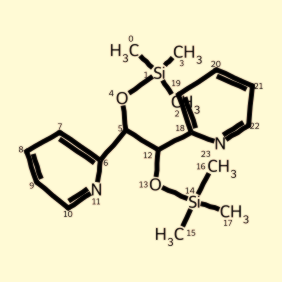 C[Si](C)(C)OC(c1ccccn1)C(O[Si](C)(C)C)c1ccccn1